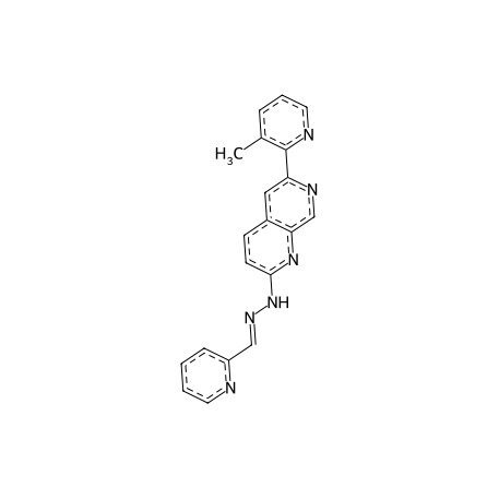 Cc1cccnc1-c1cc2ccc(NN=Cc3ccccn3)nc2cn1